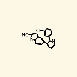 N#Cc1ccc2cc(-c3cccnc3-c3cccc(Cl)c3)ccc2n1